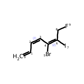 C=C/C=C\C(Br)=C(\I)CF